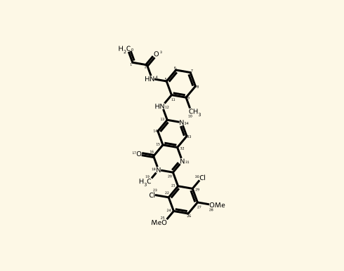 C=CC(=O)Nc1cccc(C)c1Nc1cc2c(=O)n(C)c(-c3c(Cl)c(OC)cc(OC)c3Cl)nc2cn1